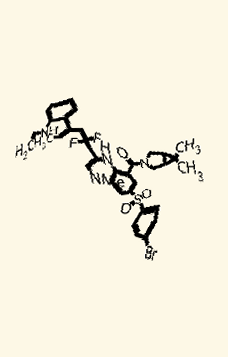 C=CNc1ccccc1/C(=C\C)CC(F)(F)C(CNC)Nc1ccc(S(=O)(=O)c2ccc(Br)cc2)cc1C(=O)N1CC2C(C1)C2(C)C